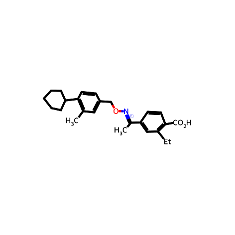 CCc1cc(/C(C)=N/OCc2ccc(C3CCCCC3)c(C)c2)ccc1C(=O)O